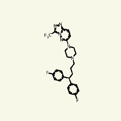 Fc1ccc(C(CCCN2CCN(c3ccc4nnc(C(F)(F)F)n4n3)CC2)c2ccc(F)cc2)cc1